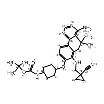 CC(C)(C)OC(=O)NC1CCC(Oc2ccc3c(c2NCC2(C#N)CC2)CC(C)(C)c2c(N)ncnc2-3)CC1